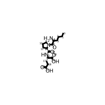 CCCC[C@H](N)C(=O)N1CCC[C@H]1C(=O)N[C@@H](CCC(=O)O)C(=O)O